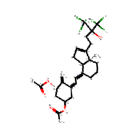 C=C1/C(=C\C=C2/CCC[C@]3(C)C(CCC(O)(C(F)(F)F)C(F)(F)F)=CCC23)CC(OC(C)=O)C[C@@H]1OC(C)=O